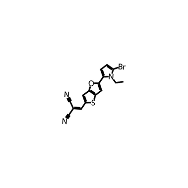 CCn1c(Br)ccc1-c1cc2sc(C=C(C#N)C#N)cc2o1